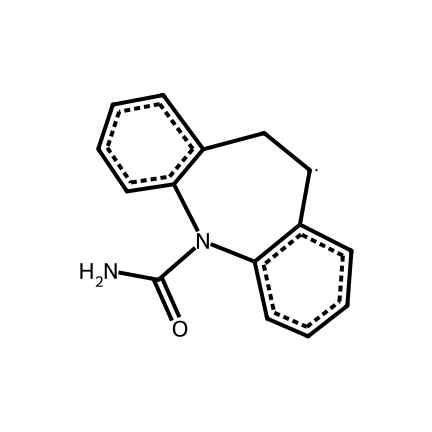 NC(=O)N1c2ccccc2[CH]Cc2ccccc21